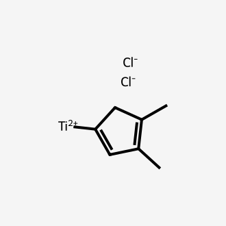 CC1=C(C)C[C]([Ti+2])=C1.[Cl-].[Cl-]